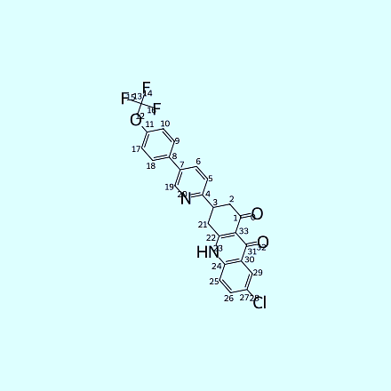 O=C1CC(c2ccc(-c3ccc(OC(F)(F)F)cc3)cn2)Cc2[nH]c3ccc(Cl)cc3c(=O)c21